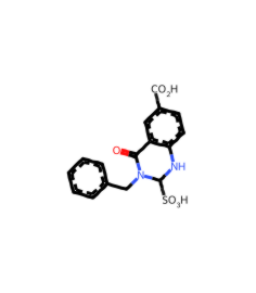 O=C(O)c1ccc2c(c1)C(=O)N(Cc1ccccc1)C(S(=O)(=O)O)N2